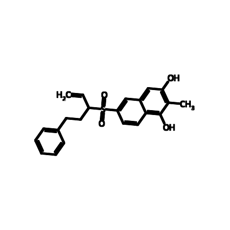 C=CC(CCc1ccccc1)S(=O)(=O)c1ccc2c(O)c(C)c(O)cc2c1